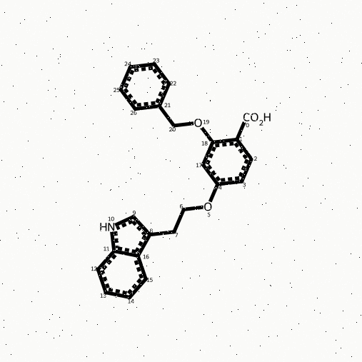 O=C(O)c1ccc(OCCc2c[nH]c3ccccc23)cc1OCc1ccccc1